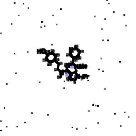 CN/C(=N\C(=C1/CN(C(C)C)C=N1)N(C)CCc1ccc(O)cc1)c1cccnc1